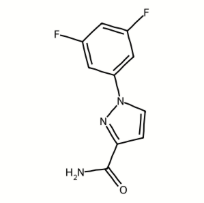 NC(=O)c1ccn(-c2cc(F)cc(F)c2)n1